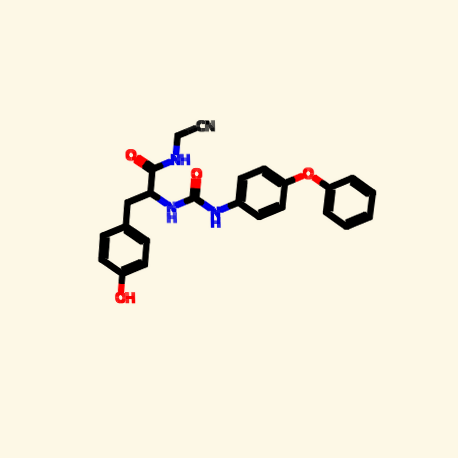 N#CCNC(=O)C(Cc1ccc(O)cc1)NC(=O)Nc1ccc(Oc2ccccc2)cc1